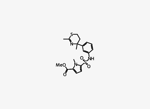 COC(=O)c1ccc(S(=O)(=O)Nc2cccc(C3(C)CCSC(C)=N3)c2)n1C